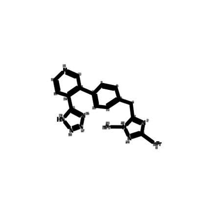 CCCc1nc(Cc2ccc(-c3cnccc3-c3nnn[nH]3)cc2)n(CCC)n1